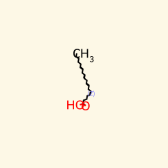 CCCCCC=CCC=CCC=CC/C=C\CCCC(=O)O